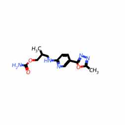 Cc1nnc(-c2ccc(NCC(C)COC(N)=O)nc2)o1